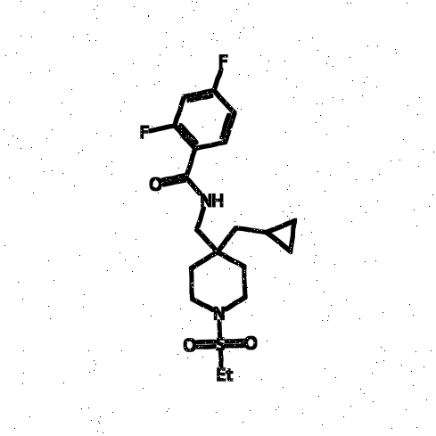 CCS(=O)(=O)N1CCC(CNC(=O)c2ccc(F)cc2F)(CC2CC2)CC1